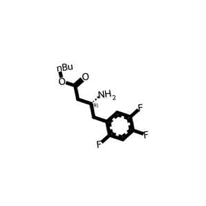 CCCCOC(=O)C[C@H](N)Cc1cc(F)c(F)cc1F